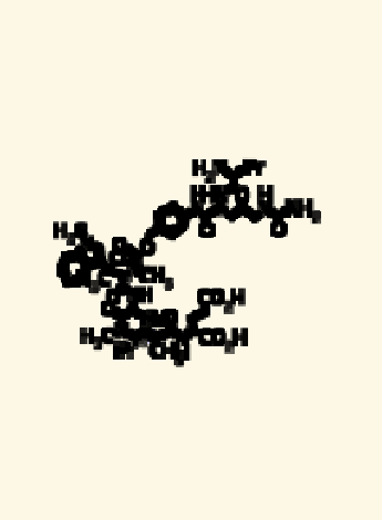 C/C(=C\[C@H](C(C)C)N(C)C(=O)C(NC(=O)[C@@H](N(C)C(=O)OCc1ccc(NC(=O)[C@H](CCCNC(N)=O)NC(=O)C(N)C(C)C)cc1)C(C)(C)c1cn(C)c2ccccc12)C(C)(C)C)C(=O)N[C@H](CCC(=O)O)C(=O)O